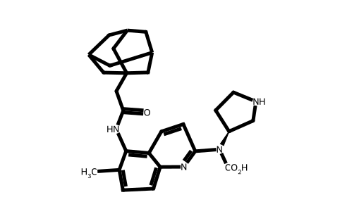 Cc1ccc2nc(N(C(=O)O)[C@H]3CCNC3)ccc2c1NC(=O)CC12CC3CC(CC(C3)C1)C2